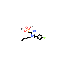 C=CCCCN(C(=N)CP(=O)(OCC)OCC)C(C)(C)c1ccc(F)cc1